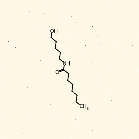 CCCCCCCC(=O)NCCCCCO